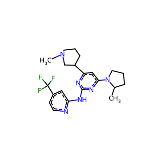 CC1CCCN1c1cc(C2CCCN(C)C2)nc(Nc2cc(C(F)(F)F)ccn2)n1